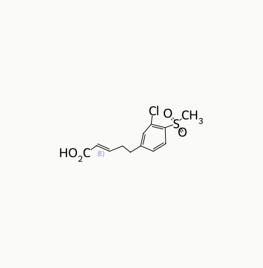 CS(=O)(=O)c1ccc(CC/C=C/C(=O)O)cc1Cl